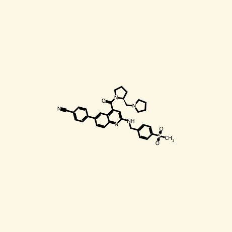 CS(=O)(=O)c1ccc(CNc2cc(C(=O)N3CCC[C@H]3CN3CCCC3)c3cc(-c4ccc(C#N)cc4)ccc3n2)cc1